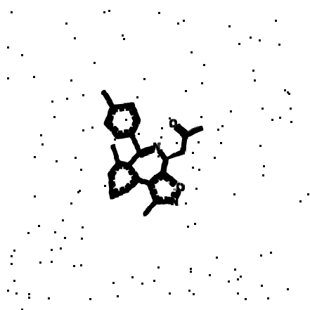 CC(=O)C[C@@H]1N=C(c2ccc(C)cc2)c2c(C)cccc2-c2c(C)noc21